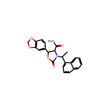 COC(=O)C1C(c2ccc3c(c2)OCO3)OC(=O)N1C(C)c1cccc2ccccc12